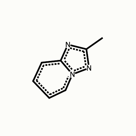 Cc1nc2ccccn2n1